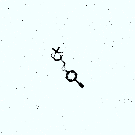 C#Cc1ccc(OC[C@H]2COC(C)(C)O2)cc1